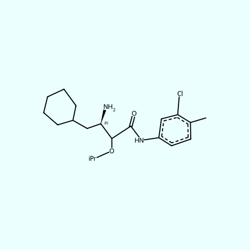 Cc1ccc(NC(=O)C(OC(C)C)[C@H](N)CC2CCCCC2)cc1Cl